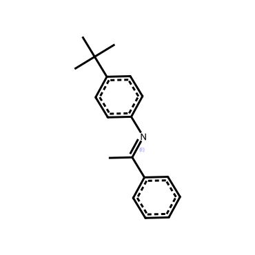 C/C(=N\c1ccc(C(C)(C)C)cc1)c1ccccc1